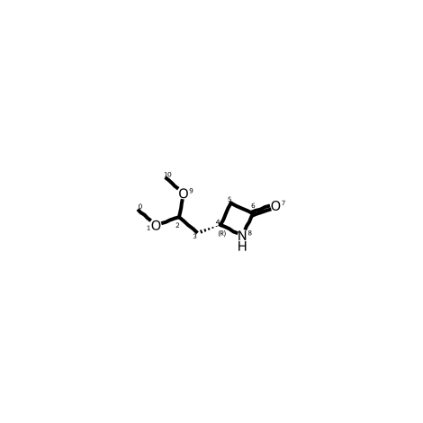 COC(C[C@@H]1CC(=O)N1)OC